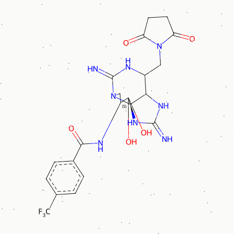 N=C1NC2C(CN3C(=O)CCC3=O)NC(=N)N3CC(NC(=O)c4ccc(C(F)(F)F)cc4)C(O)(O)[C@]23N1